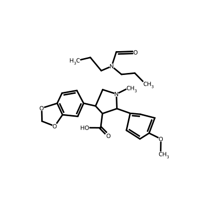 CCCN(C=O)CCC.COc1ccc(C2C(C(=O)O)C(c3ccc4c(c3)OCO4)CN2C)cc1